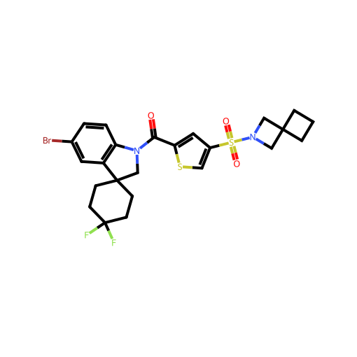 O=C(c1cc(S(=O)(=O)N2CC3(CCC3)C2)cs1)N1CC2(CCC(F)(F)CC2)c2cc(Br)ccc21